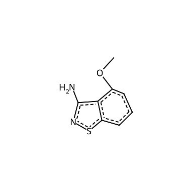 COc1cccc2snc(N)c12